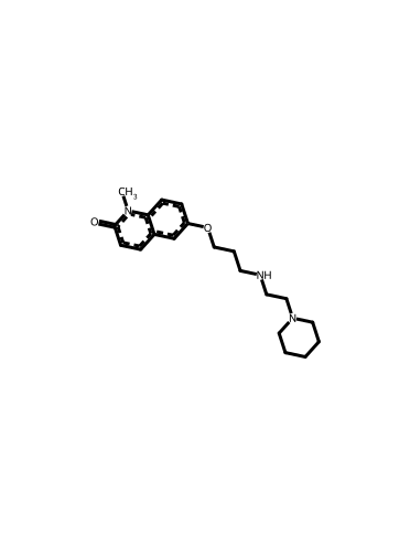 Cn1c(=O)ccc2cc(OCCCNCCN3CCCCC3)ccc21